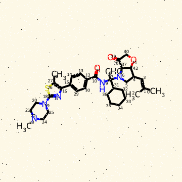 CC(C)=CC1CN(C(C=O)(NC(=O)c2ccc(-c3nc(N4CCN(C)CC4)sc3C)cc2)C2CCCCC2)C2C(=O)COC12